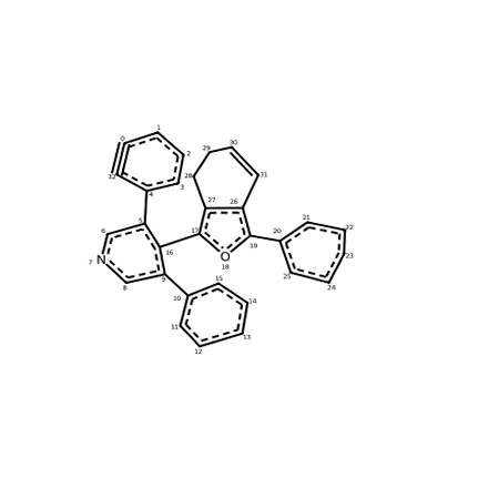 c1cccc(-c2cncc(-c3ccccc3)c2-c2oc(-c3ccccc3)c3c2CCC=C3)c#1